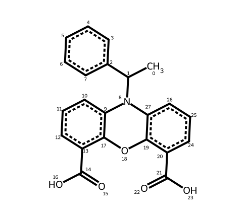 CC(c1ccccc1)N1c2cccc(C(=O)O)c2Oc2c(C(=O)O)cccc21